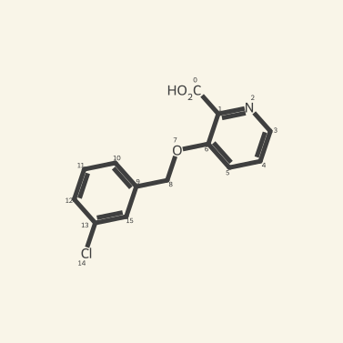 O=C(O)c1ncccc1OCc1cccc(Cl)c1